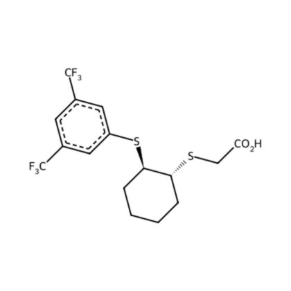 O=C(O)CS[C@@H]1CCCC[C@H]1Sc1cc(C(F)(F)F)cc(C(F)(F)F)c1